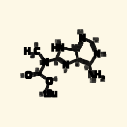 CN(C(=O)OC(C)(C)C)c1nc2c(N)ncnc2[nH]1